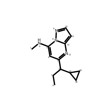 CCC(c1cc(NC)n2nccc2n1)C1CC1